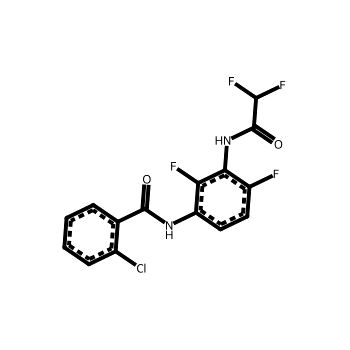 O=C(Nc1ccc(F)c(NC(=O)C(F)F)c1F)c1ccccc1Cl